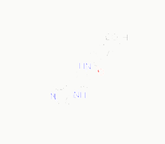 O=C(O)c1ccc(C(=O)Nc2ccc(Nc3ccncc3)cc2)cc1